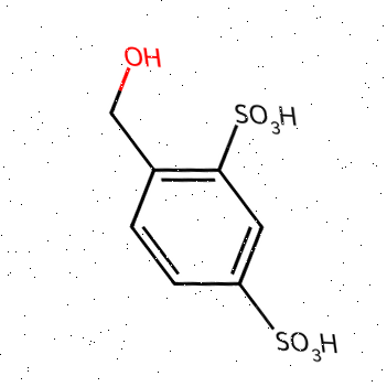 O=S(=O)(O)c1ccc(CO)c(S(=O)(=O)O)c1